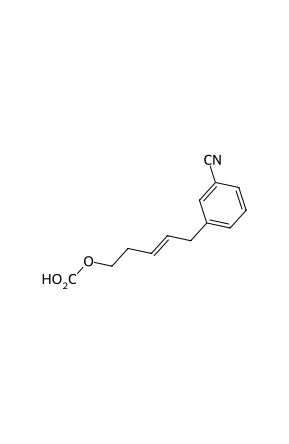 N#Cc1cccc(CC=CCCOC(=O)O)c1